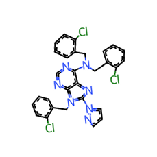 Clc1ccccc1CN(Cc1ccccc1Cl)c1ncnc2c1nc(-n1cccn1)n2Cc1ccccc1Cl